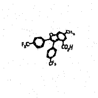 Cc1cc(C(=O)O)c2c(-c3ccc(C(F)(F)F)cc3)c(-c3ccc(C(F)(F)F)cc3)oc2c1